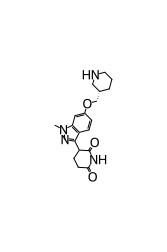 Cn1nc(C2CCC(=O)NC2=O)c2ccc(OC[C@H]3CCCNC3)cc21